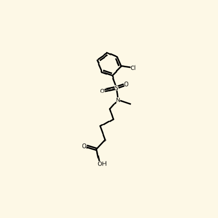 CN(CCCCC(=O)O)S(=O)(=O)c1ccccc1Cl